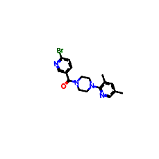 Cc1cnc(N2CCN(C(=O)c3ccc(Br)nc3)CC2)c(C)c1